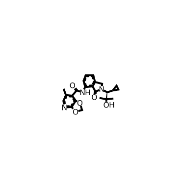 Cc1cnc2c(c1C(=O)Nc1cccc3c1C(=O)N([C@@H](C1CC1)C(C)(C)O)C3)OCO2